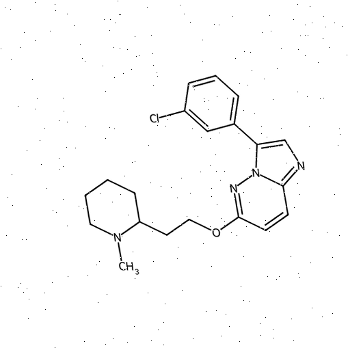 CN1CCCCC1CCOc1ccc2ncc(-c3cccc(Cl)c3)n2n1